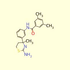 Cc1cc(C)cc(C(=O)Nc2cccc(C3(C)CCSC(N)=N3)c2)c1